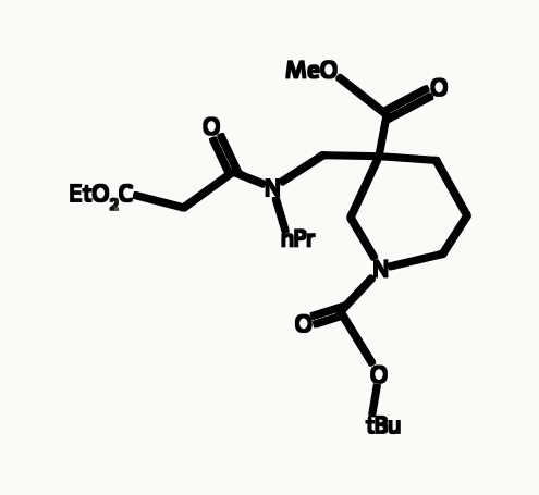 CCCN(CC1(C(=O)OC)CCCN(C(=O)OC(C)(C)C)C1)C(=O)CC(=O)OCC